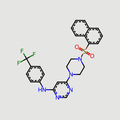 O=S(=O)(c1cccc2ccccc12)N1CCN(c2cc(Nc3ccc(C(F)(F)F)cc3)ncn2)CC1